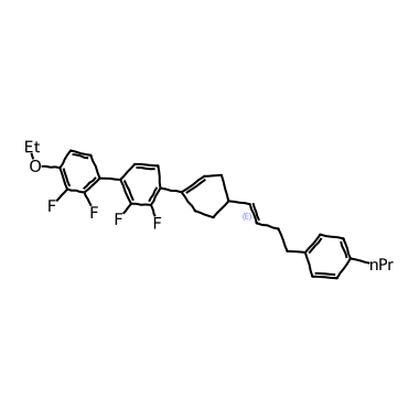 CCCc1ccc(CC/C=C/C2CC=C(c3ccc(-c4ccc(OCC)c(F)c4F)c(F)c3F)CC2)cc1